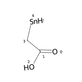 O=C(O)[CH2][SnH]